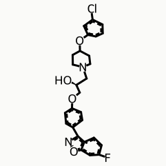 O[C@H](COc1ccc(-c2noc3cc(F)ccc23)cc1)CN1CCC(Oc2cccc(Cl)c2)CC1